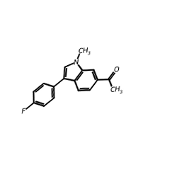 CC(=O)c1ccc2c(-c3ccc(F)cc3)cn(C)c2c1